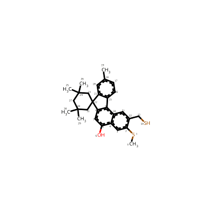 CSc1cc2c(O)cc3c(c2cc1CS)-c1ccc(C)cc1C31CC(C)(C)CC(C)(C)C1